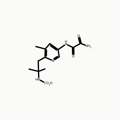 Cc1cc(NC(=O)C(N)=O)cnc1CC(C)(C)NC(=O)O